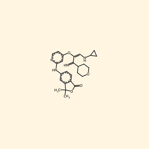 CC1(C)OC(=O)c2ccc(Nc3cc(O/C(=C/NC4CC4)C(=N)C4CCOCC4)ccn3)cc21